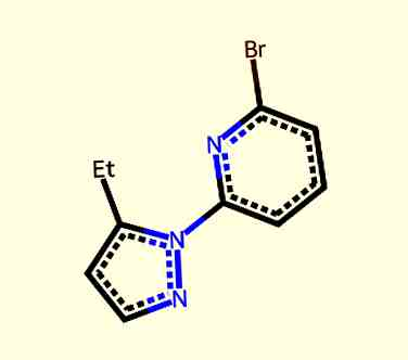 CCc1ccnn1-c1cccc(Br)n1